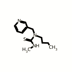 CCCCN(Cc1cccnc1)C(=S)NC